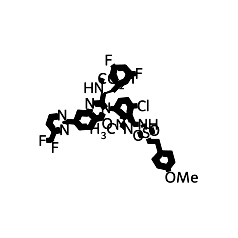 COc1ccc(CCS(=O)(=O)Nc2nn(C)c3c(-n4c([C@H](Cc5cc(F)cc(F)c5)NC(=O)O)nc5cc(-c6nccc(C(F)F)n6)ccc5c4=O)ccc(Cl)c23)cc1